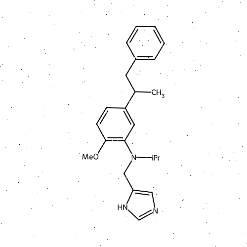 COc1ccc(C(C)Cc2ccccc2)cc1N(Cc1cnc[nH]1)C(C)C